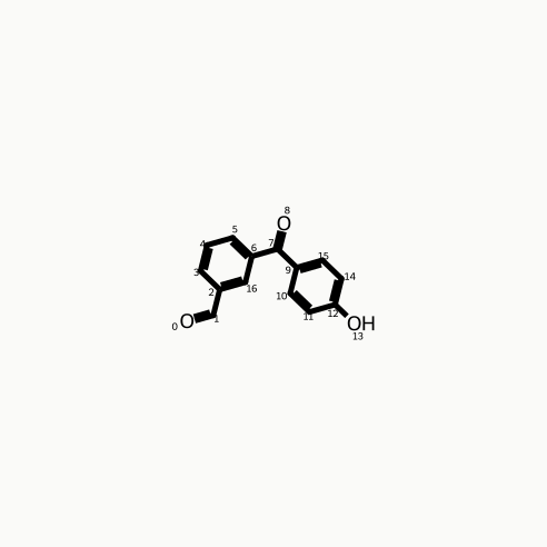 O=Cc1cccc(C(=O)c2ccc(O)cc2)c1